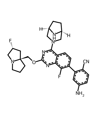 N#Cc1ccc(N)cc1-c1ccc2c(N3C[C@H]4CC[C@@H](C3)N4)nc(OC[C@@]34CCCN3C[C@H](F)C4)nc2c1F